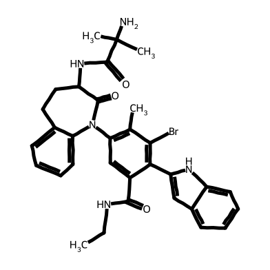 CCNC(=O)c1cc(N2C(=O)C(NC(=O)C(C)(C)N)CCc3ccccc32)c(C)c(Br)c1-c1cc2ccccc2[nH]1